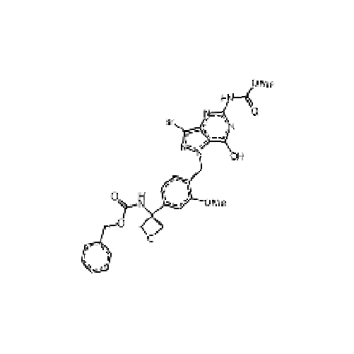 COC(=O)Nc1nc(O)c2c(n1)c(Br)nn2Cc1ccc(C2(NC(=O)OCc3ccccc3)COC2)cc1OC